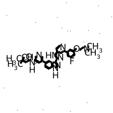 CN(C)CCOc1cc(F)cc(-c2nccc3[nH]c(-c4n[nH]c5ccc(-c6cncc(NC(=O)CC(C)(C)C)c6)cc45)nc23)c1